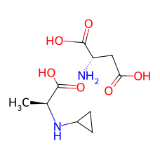 C[C@H](NC1CC1)C(=O)O.N[C@@H](CC(=O)O)C(=O)O